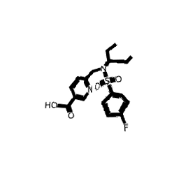 CCC(CC)N(Cc1ccc(C(=O)O)cn1)S(=O)(=O)c1ccc(F)cc1